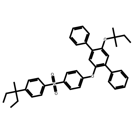 CCC(C)(C)Oc1cc(-c2ccccc2)c(Oc2ccc(S(=O)(=O)c3ccc(C(C)(CC)CC)cc3)cc2)cc1-c1ccccc1